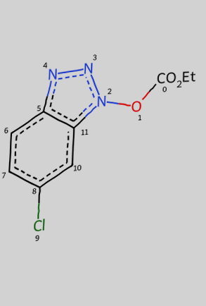 CCOC(=O)On1nnc2ccc(Cl)cc21